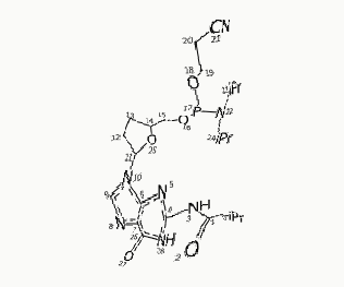 CC(C)C(=O)Nc1nc2c(ncn2C2CCC(COP(OCCC#N)N(C(C)C)C(C)C)O2)c(=O)[nH]1